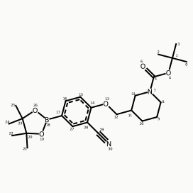 CC(C)(C)OC(=O)N1CCCC(COc2ccc(B3OC(C)(C)C(C)(C)O3)cc2C#N)C1